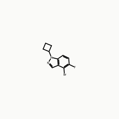 Fc1ccc2c(cnn2C2CCC2)c1Br